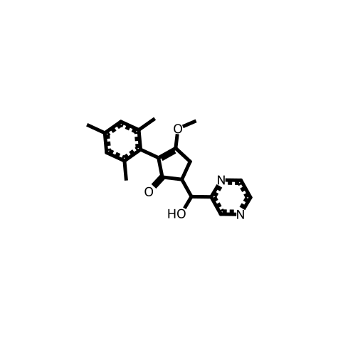 COC1=C(c2c(C)cc(C)cc2C)C(=O)C(C(O)c2cnccn2)C1